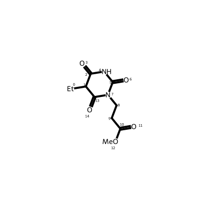 CCC1C(=O)NC(=O)N(CCC(=O)OC)C1=O